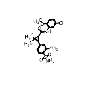 COc1ccc(Cl)cc1NC(=O)C1C(c2ccc(S(N)(=O)=O)c(C)c2)C1(C)C